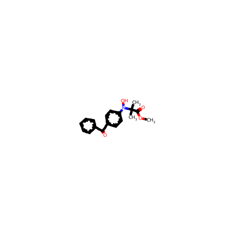 COC(=O)C(C)(C)N(O)c1ccc(C(=O)c2ccccc2)cc1